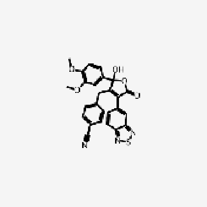 COc1ccc(C2(O)OC(=O)C(c3ccc4nsnc4c3)=C2Cc2ccc(C#N)cc2)cc1OC